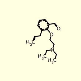 C=CCc1cccc(C=O)c1OCCN(CC)CC